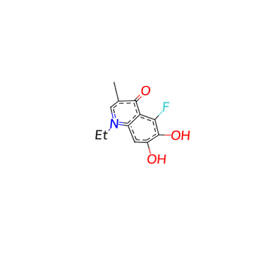 CCn1cc(C)c(=O)c2c(F)c(O)c(O)cc21